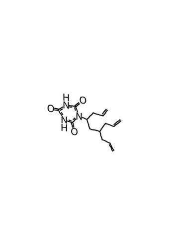 C=CCC(CC=C)CC(CC=C)n1c(=O)[nH]c(=O)[nH]c1=O